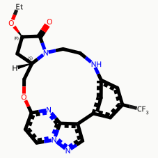 CCO[C@@H]1C[C@H]2COc3ccn4ncc(c4n3)-c3cc(cc(C(F)(F)F)c3)NCCN2C1=O